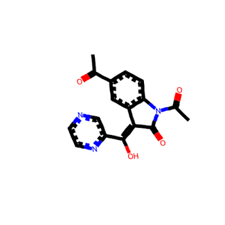 CC(=O)c1ccc2c(c1)/C(=C(/O)c1cnccn1)C(=O)N2C(C)=O